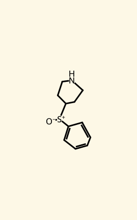 [O-][S+](c1ccccc1)C1CCNCC1